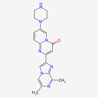 Cc1cn2cc(-c3cc(=O)n4cc(N5CCNCC5)ccc4n3)nc2c(C)n1